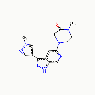 CN1CCN(c2cc3c(-c4cnn(C)c4)n[nH]c3cn2)CC1=O